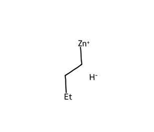 CCC[CH2][Zn+].[H-]